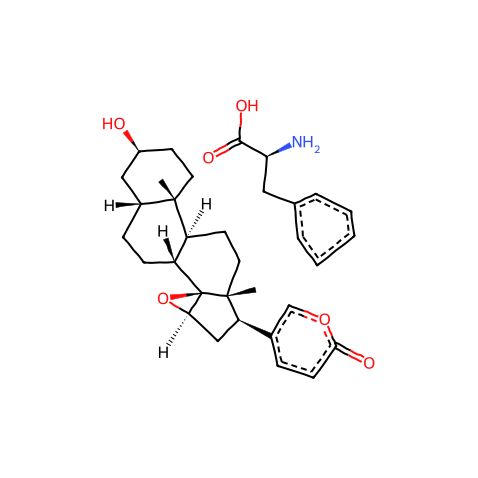 C[C@]12CC[C@H](O)C[C@H]1CC[C@@H]1[C@@H]2CC[C@]2(C)[C@@H](c3ccc(=O)oc3)C[C@H]3O[C@]132.N[C@@H](Cc1ccccc1)C(=O)O